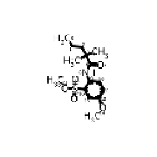 CCCC(C)(C)C(=O)Nc1ccc(OC)cc1S(=O)(=O)OC